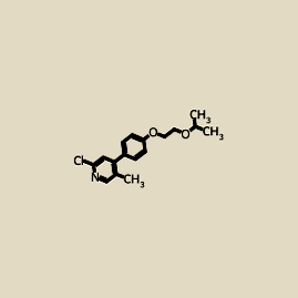 Cc1cnc(Cl)cc1-c1ccc(OCCOC(C)C)cc1